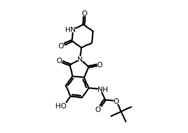 CC(C)(C)OC(=O)Nc1cc(O)cc2c1C(=O)N(C1CCC(=O)NC1=O)C2=O